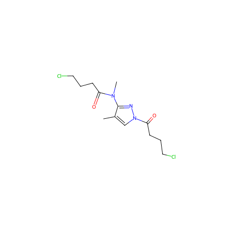 Cc1cn(C(=O)CCCCl)nc1N(C)C(=O)CCCCl